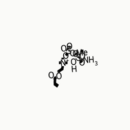 C=CC(=O)OCC[N+](C)(C)C.COS(=O)(=O)O.COS(=O)(=O)[O-].N